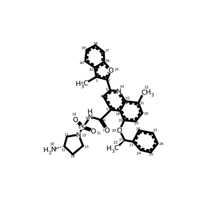 Cc1c(-c2cc(C(=O)NS(=O)(=O)N3CC[C@H](N)C3)c3c(O[C@H](C)c4ccccc4)ccc(C)c3n2)oc2ccccc12